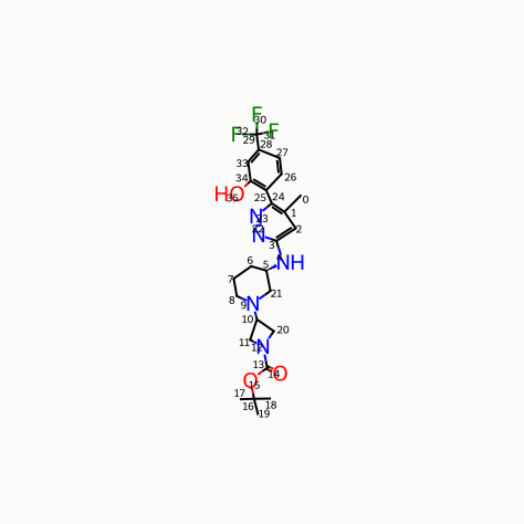 Cc1cc(N[C@@H]2CCCN(C3CN(C(=O)OC(C)(C)C)C3)C2)nnc1-c1ccc(C(F)(F)F)cc1O